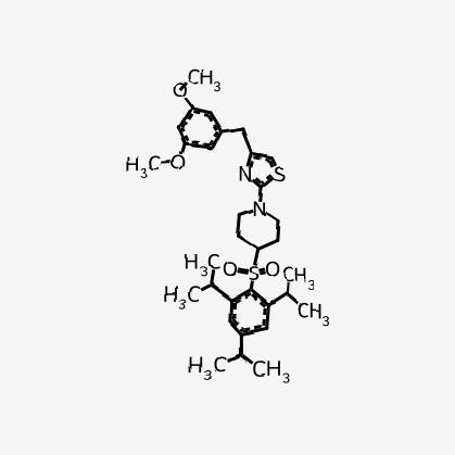 COc1cc(Cc2csc(N3CCC(S(=O)(=O)c4c(C(C)C)cc(C(C)C)cc4C(C)C)CC3)n2)cc(OC)c1